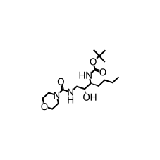 CCCC[C@H](NC(=O)OC(C)(C)C)[C@H](O)CNC(=O)N1CCOCC1